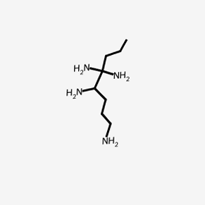 CCCC(N)(N)C(N)CCCN